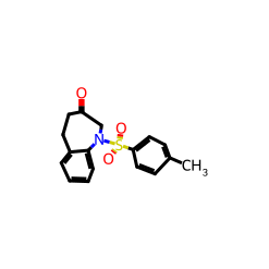 Cc1ccc(S(=O)(=O)N2CC(=O)CCc3ccccc32)cc1